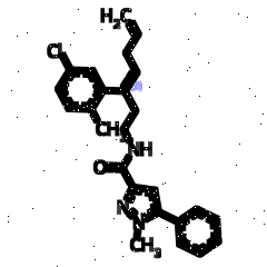 C=CC/C=C(/CCNC(=O)c1cc(-c2ccccc2)n(C)n1)c1cc(Cl)ccc1C